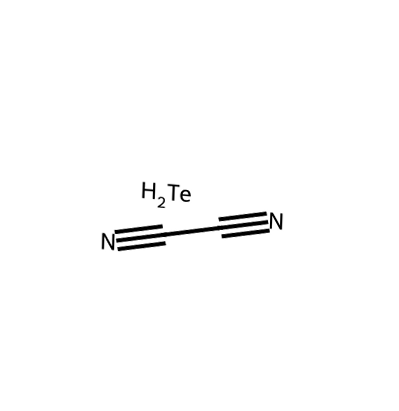 N#CC#N.[TeH2]